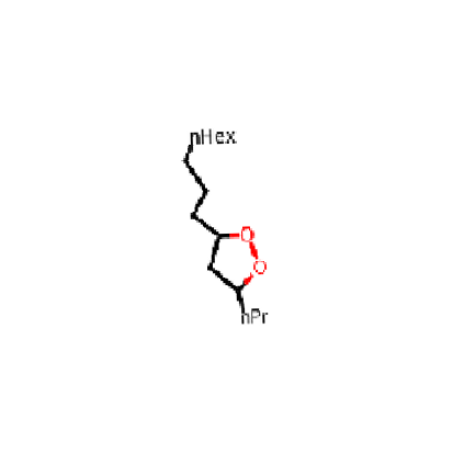 CCCCCCCCCC1CC(CCC)OO1